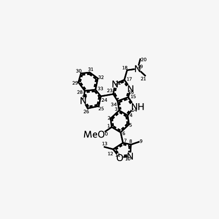 COc1cc2c(cc1-c1c(C)noc1C)[nH]c1nc(CN(C)C)nc(-c3ccnc4ccccc34)c12